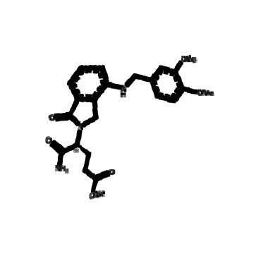 COC(=O)CC[C@@H](C(N)=O)N1Cc2c(NCc3ccc(OC)c(OC)c3)cccc2C1=O